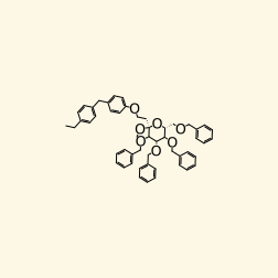 CCc1ccc(Cc2ccc(OCC[C@]3(OC)O[C@H](COCc4ccccc4)[C@@H](OCc4ccccc4)[C@H](OCc4ccccc4)[C@H]3OCc3ccccc3)cc2)cc1